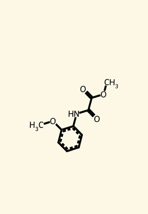 COC(=O)C(=O)Nc1ccccc1OC